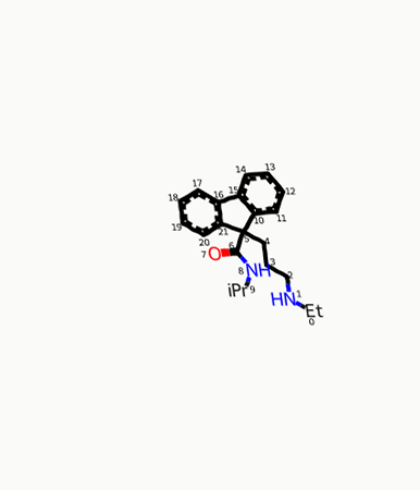 CCNCCCC1(C(=O)NC(C)C)c2ccccc2-c2ccccc21